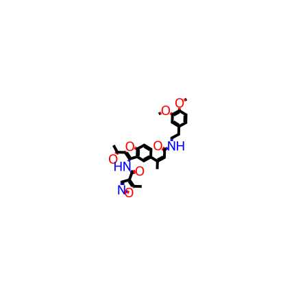 COc1ccc(CCNC(=O)/C=C(/C)c2ccc3oc(C(C)=O)c(NC(=O)c4cnoc4C)c3c2)cc1OC